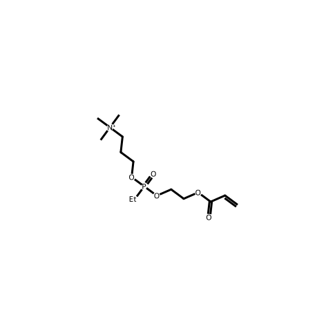 C=CC(=O)OCCOP(=O)(CC)OCCC[N+](C)(C)C